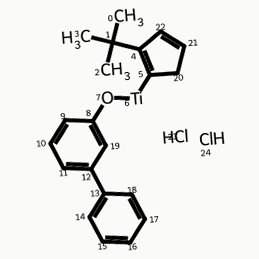 CC(C)(C)C1=[C]([Ti][O]c2cccc(-c3ccccc3)c2)CC=C1.Cl.Cl